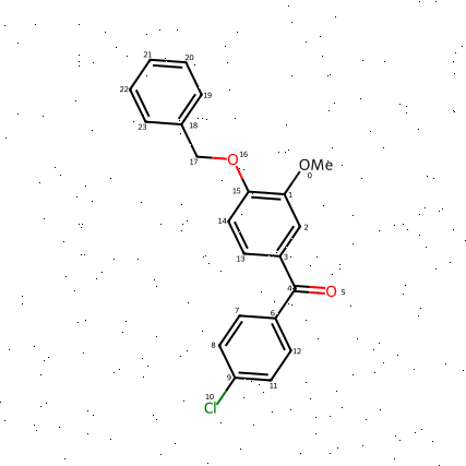 COc1cc(C(=O)c2ccc(Cl)cc2)ccc1OCc1ccccc1